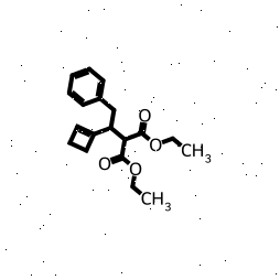 CCOC(=O)C(C(=O)OCC)C(Cc1ccccc1)C1=CCC1